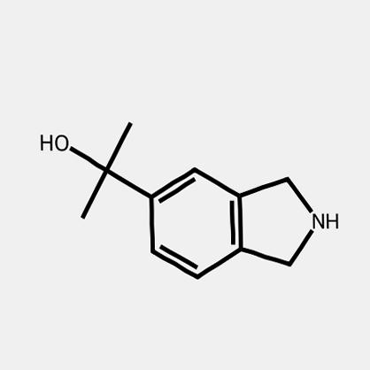 CC(C)(O)c1ccc2c(c1)CNC2